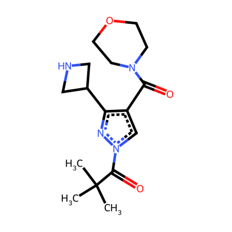 CC(C)(C)C(=O)n1cc(C(=O)N2CCOCC2)c(C2CNC2)n1